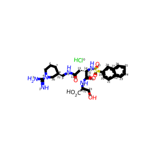 Cl.N=C(N)N1CCC[C@@H](CNC(=O)C[C@H](NS(=O)(=O)c2ccc3ccccc3c2)C(=O)N[C@@H](CO)C(=O)O)C1